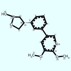 COc1cc(-c2cccc([C@@H]3COB(O)C3)c2)cnc1OC